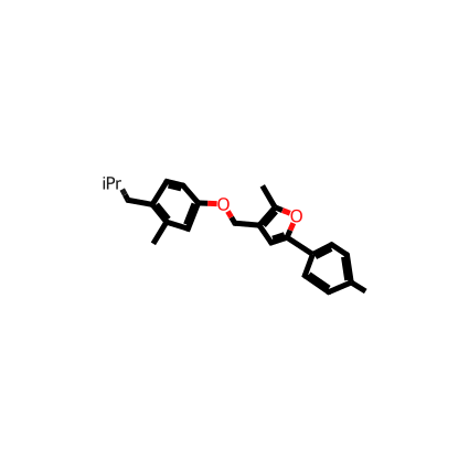 Cc1ccc(-c2cc(COc3ccc(CC(C)C)c(C)c3)c(C)o2)cc1